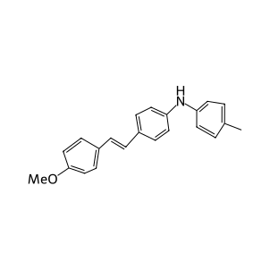 COc1ccc(/C=C/c2ccc(Nc3ccc(C)cc3)cc2)cc1